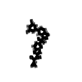 O=C(Nc1cn2nc(C(F)(F)c3nnc4ccc(-c5cc(F)cc(F)c5)cn34)ccc2n1)C1CC1